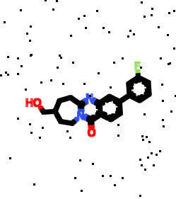 O=c1c2ccc(-c3cccc(F)c3)cc2nc2n1CCC(CO)CC2